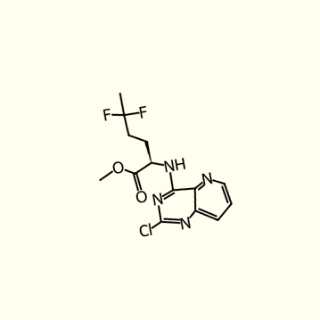 COC(=O)[C@@H](CCC(C)(F)F)Nc1nc(Cl)nc2cccnc12